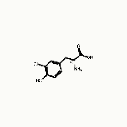 N[C@H](Cc1ccc(O)c(Cl)c1)C(=O)O